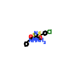 NC(=O)c1c(SCc2ccc(Cl)cc2)nsc1NC(=O)NCc1ccccc1